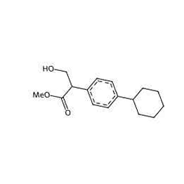 COC(=O)C(CO)c1ccc(C2CCCCC2)cc1